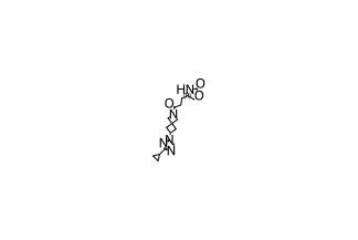 O=C1N[C@H](CCC(=O)N2CC3(CC(n4cnc(C5CC5)n4)C3)C2)CO1